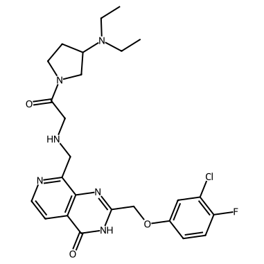 CCN(CC)C1CCN(C(=O)CNCc2nccc3c(=O)[nH]c(COc4ccc(F)c(Cl)c4)nc23)C1